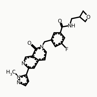 Cn1nccc1-c1cc2ccn(Cc3cc(F)cc(C(=O)NCC4COC4)c3)c(=O)c2cn1